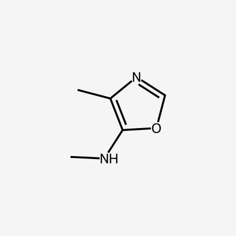 CNc1ocnc1C